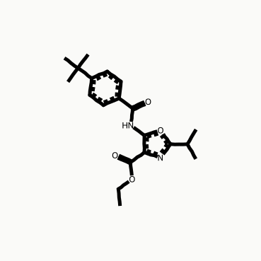 CCOC(=O)c1nc(C(C)C)oc1NC(=O)c1ccc(C(C)(C)C)cc1